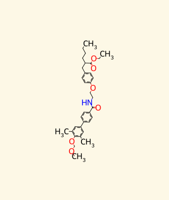 CCCCC(Cc1ccc(OCCNC(=O)c2ccc(-c3cc(C)c(OCOC)c(C)c3)cc2)cc1)C(=O)OCC